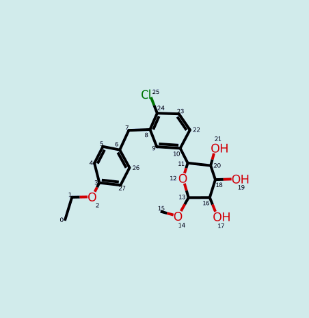 CCOc1ccc(Cc2cc(C3OC(OC)C(O)C(O)C3O)ccc2Cl)cc1